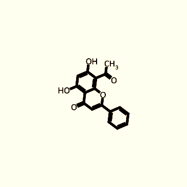 CC(=O)c1c(O)cc(O)c2c(=O)cc(-c3ccccc3)oc12